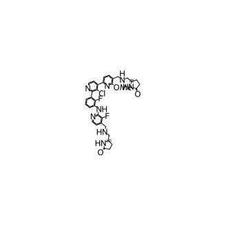 COc1nc(-c2ccnc(-c3cccc(Nc4nccc(CNC[C@H]5CCC(=O)N5)c4F)c3F)c2Cl)ccc1CNC[C@H]1CCC(=O)N1